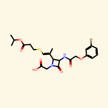 CC(=CSCCC(=O)OC(C)C)C1C(NC(=O)COc2cccc(Br)c2)C(=O)N1CC(=O)O